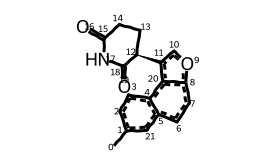 Cc1ccc2c(ccc3occ([C@@H]4CCC(=O)NC4=O)c32)c1